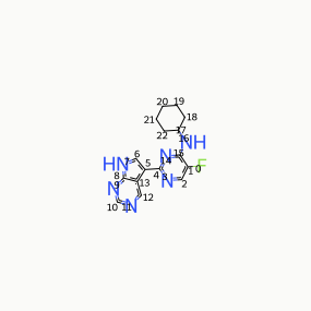 Fc1cnc(-c2c[nH]c3ncncc23)nc1NC1CCCCC1